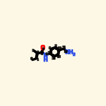 CC=C(C)C(=O)Nc1ccc(CN)cc1